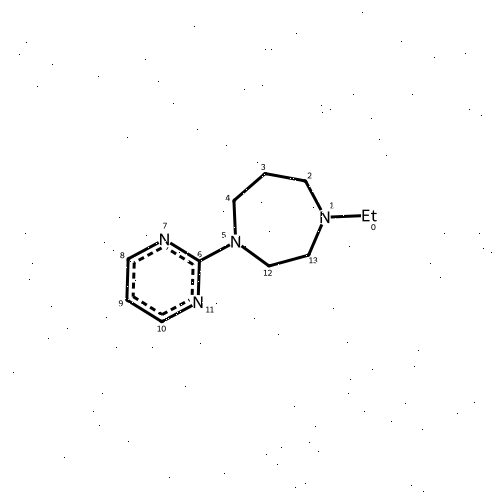 CCN1CCCN(c2ncccn2)CC1